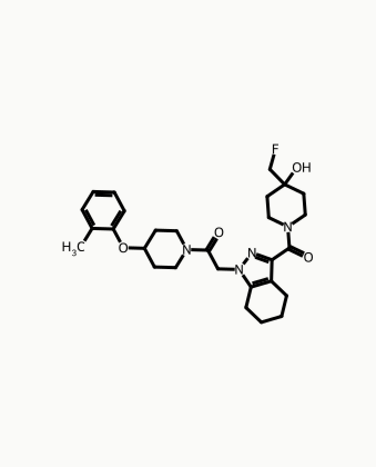 Cc1ccccc1OC1CCN(C(=O)Cn2nc(C(=O)N3CCC(O)(CF)CC3)c3c2CCCC3)CC1